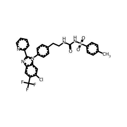 Cc1ccc(S(=O)(=O)NC(=O)NCCc2ccc(-n3c(-c4ccccn4)nc4cc(C(F)(F)F)c(Cl)cc43)cc2)cc1